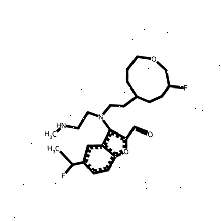 CNCCN(CCC1CCCOCC(F)CC1)c1c(C=O)oc2ccc(C(C)F)cc12